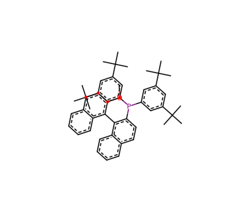 COc1ccc2ccccc2c1-c1c(P(c2cc(C(C)(C)C)cc(C(C)(C)C)c2)c2cc(C(C)(C)C)cc(C(C)(C)C)c2)ccc2ccccc12